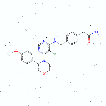 NC(=O)Cc1ccc(CNc2ncnc(N3CCOCC3c3ccc(OC(F)(F)F)cc3)c2F)cc1